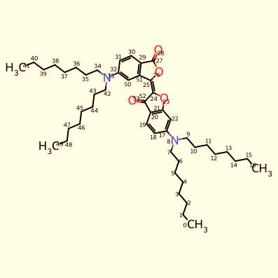 CCCCCCCCN(CCCCCCCC)c1ccc2c(c1)O/C(=C1\OC(=O)c3ccc(N(CCCCCCCC)CCCCCCCC)cc31)C2=O